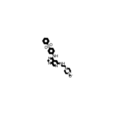 O=S(=O)(c1ccccc1)c1ccc(Nc2ncnc3cnc(NCCN4CC[S+]([O-])CC4)cc23)cc1